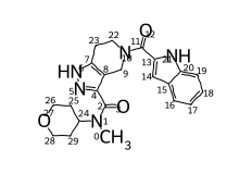 CN(C(=O)c1n[nH]c2c1CN(C(=O)c1cc3ccccc3[nH]1)CC2)C1CCOCC1